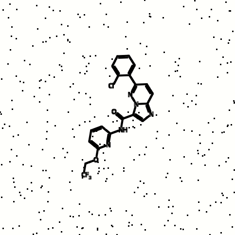 O=C(Nc1cccc(OCC(F)(F)F)n1)c1cnc2ccc(-c3ccccc3Cl)nn12